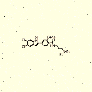 CCN(CC)CCCNC(=O)c1ccc(-c2cc3cc(Cl)c(Cl)cc3[nH]2)cc1OC